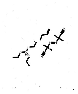 C=CCC.CC(C)(C#N)N=NC(C)(C)C#N.CCO[SiH](OCC)OCC